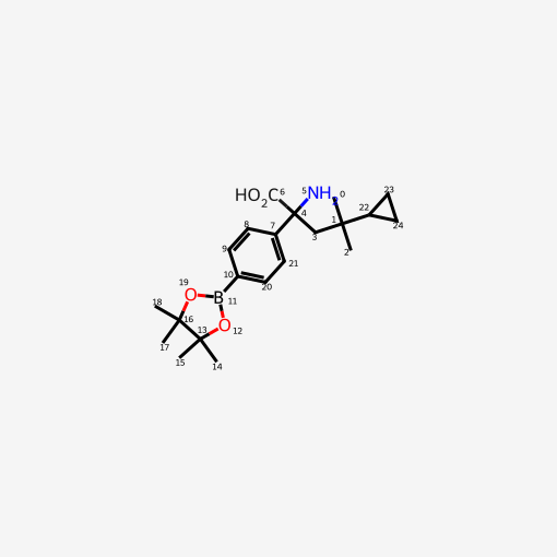 CC(C)(CC(N)(C(=O)O)c1ccc(B2OC(C)(C)C(C)(C)O2)cc1)C1CC1